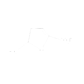 CCOC(=O)C1=CCC(C(F)(F)F)O1